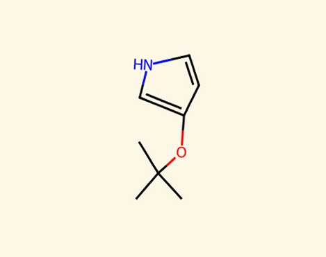 CC(C)(C)Oc1cc[nH]c1